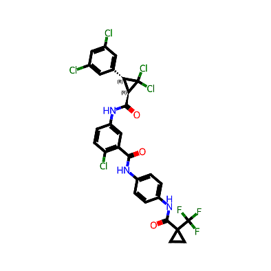 O=C(Nc1ccc(NC(=O)C2(C(F)(F)F)CC2)cc1)c1cc(NC(=O)[C@H]2[C@H](c3cc(Cl)cc(Cl)c3)C2(Cl)Cl)ccc1Cl